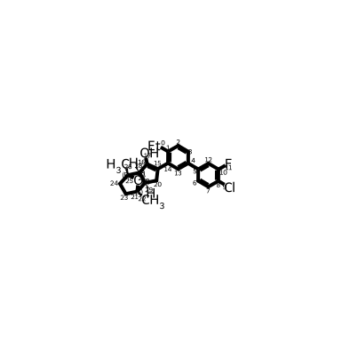 CCc1ccc(-c2ccc(Cl)c(F)c2)cc1C1=C(O)[C@H]2[C@@H](C1)[C@]1(C)CC[C@@]2(C)O1